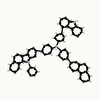 c1ccc(-n2c3cc(-c4ccc(N(c5ccc(-c6ccc7c(ccc8ccccc87)c6)cc5)c5ccc(-c6cccc7oc8ccccc8c67)cc5)cc4)ccc3c3ccc4ccccc4c32)cc1